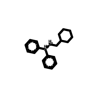 c1ccc([SiH]([SiH2]CC2CCCCC2)c2ccccc2)cc1